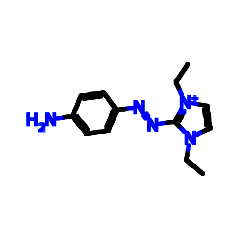 CCn1cc[n+](CC)c1/N=N/c1ccc(N)cc1